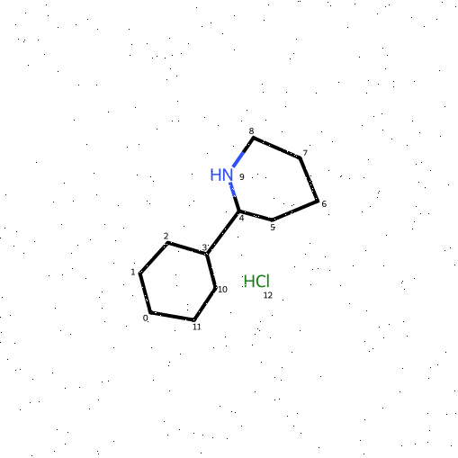 C1CCC(C2CCCCN2)CC1.Cl